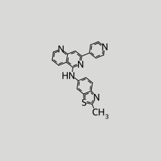 Cc1nc2ccc(Nc3nc(-c4ccncc4)cc4ncccc34)cc2s1